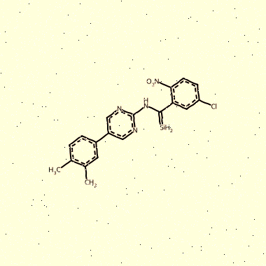 Cc1ccc(-c2cnc(NC(=[SiH2])c3cc(Cl)ccc3[N+](=O)[O-])nc2)cc1C